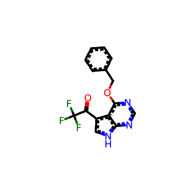 O=C(c1c[nH]c2ncnc(OCc3ccccc3)c12)C(F)(F)F